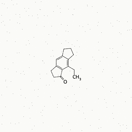 CCc1c2c(cc3c1C(=O)CC3)CCC2